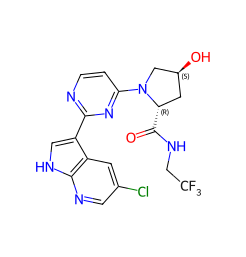 O=C(NCC(F)(F)F)[C@H]1C[C@H](O)CN1c1ccnc(-c2c[nH]c3ncc(Cl)cc23)n1